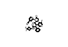 N#Cc1ccnc(N2C(=O)CC[C@H]2C(=O)C(c2cncc(F)c2)[C@H](C(=O)NC2CC(F)(F)C2)c2ccccc2)c1